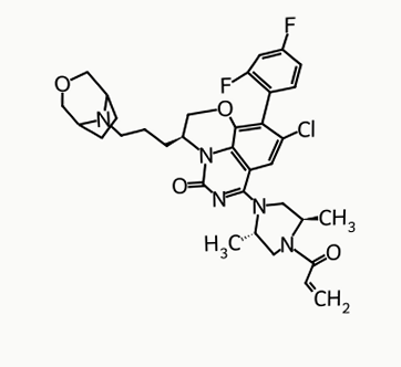 C=CC(=O)N1C[C@H](C)N(c2nc(=O)n3c4c(c(-c5ccc(F)cc5F)c(Cl)cc24)OC[C@@H]3CCCN2C3CCC2COC3)C[C@H]1C